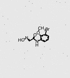 COc1c(Br)cccc1NC(=O)/C=N/O